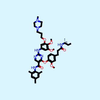 CC[C@@H](C)NC(=O)CCc1ccc(Oc2nc(Nc3cc(OC)c(OC)c(OCCCN4CCN(C)CC4)c3)ncc2C(=O)Nc2c(C)cc(C)cc2C)c(OC)c1